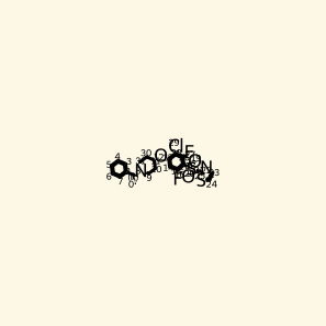 C[C@H](c1ccccc1)N1CCC(Oc2cc(F)c(S(=O)(=O)c3n[c]cs3)c(F)c2Cl)CC1